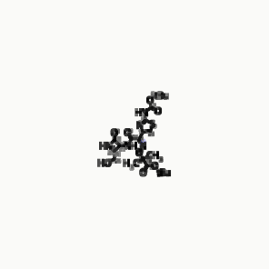 CC(C)(C)OC(=O)Nc1nc(/C(=N/OC(C)(C)C(=O)OC(C)(C)C)C(=O)N[C@@H]2C(=O)N[C@@H]2CO)cs1